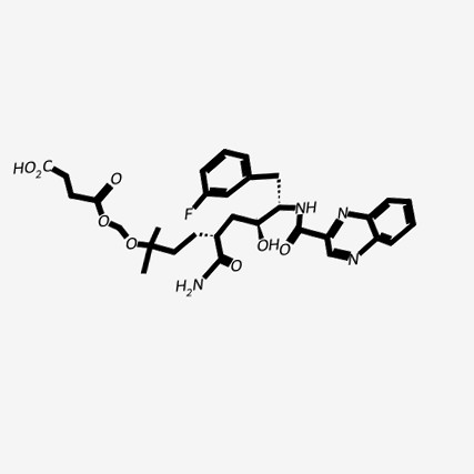 CC(C)(CC[C@H](C[C@H](O)[C@H](Cc1cccc(F)c1)NC(=O)c1cnc2ccccc2n1)C(N)=O)OCOC(=O)CCC(=O)O